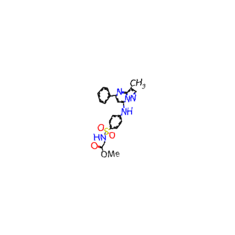 COC(=O)CNS(=O)(=O)c1ccc(Nc2cc(-c3ccccc3)nc3c(C)cnn23)cc1